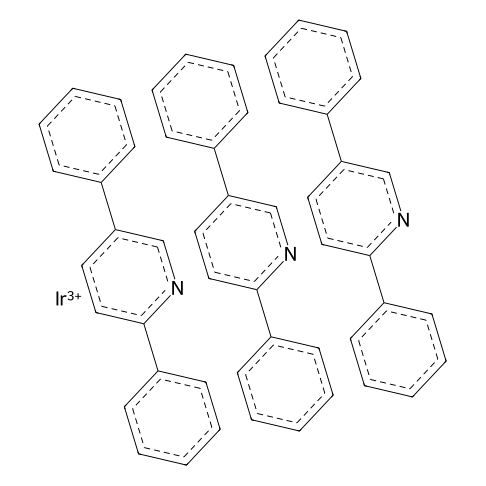 [Ir+3].c1ccc(-c2ccc(-c3ccccc3)nc2)cc1.c1ccc(-c2ccc(-c3ccccc3)nc2)cc1.c1ccc(-c2ccc(-c3ccccc3)nc2)cc1